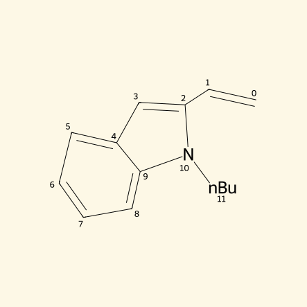 C=Cc1cc2ccccc2n1CCCC